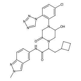 Cn1cc2cc(NC(=O)C(CC3CCC3)N3CC(O)N(c4cc(Cl)ccc4-n4cnnn4)CC3=O)ccc2n1